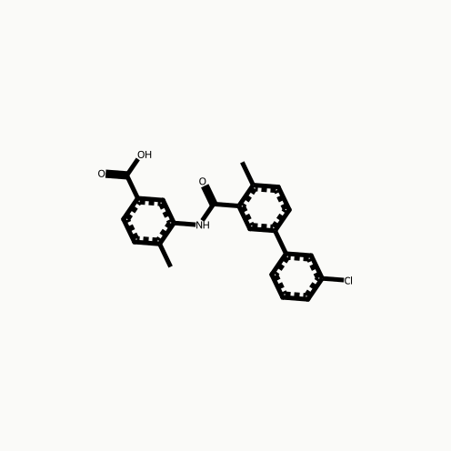 Cc1ccc(C(=O)O)cc1NC(=O)c1cc(-c2cccc(Cl)c2)ccc1C